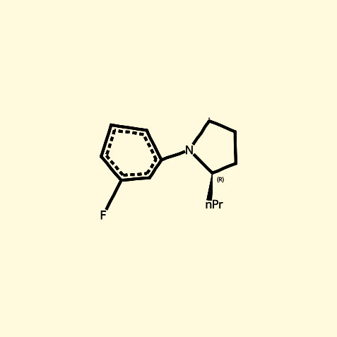 CCC[C@@H]1CC[CH]N1c1cccc(F)c1